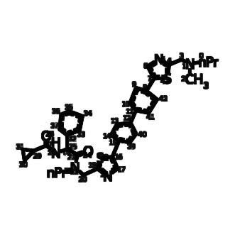 CCCN(C)Cc1ncc(-c2ccc(-c3ccc(-c4cnc(CN(CCC)C(=O)[C@@H](NC(=O)C5CC5)c5ccccc5)s4)cc3)cc2)s1